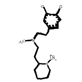 CN(CCc1ccc(Cl)c(Cl)c1)CCC1CCCCN1C